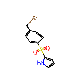 O=S(=O)(c1ccc(CBr)cc1)c1ccc[nH]1